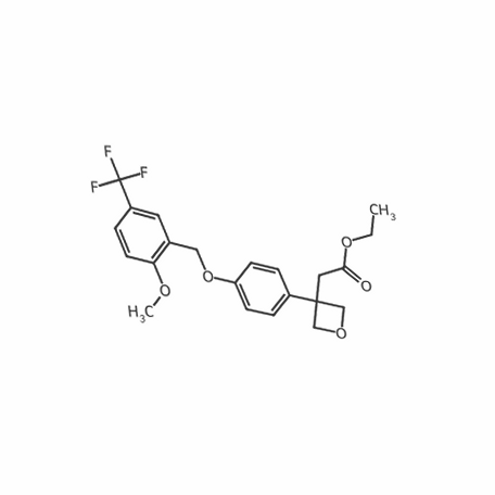 CCOC(=O)CC1(c2ccc(OCc3cc(C(F)(F)F)ccc3OC)cc2)COC1